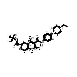 CCN1CCN(c2ccc(NC(=O)C3=C(O)C4CN(C(=O)OC(C)(C)C)CCC4NC3=O)cc2)CC1